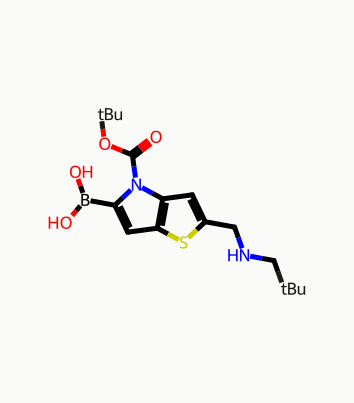 CC(C)(C)CNCc1cc2c(cc(B(O)O)n2C(=O)OC(C)(C)C)s1